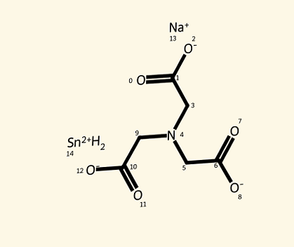 O=C([O-])CN(CC(=O)[O-])CC(=O)[O-].[Na+].[SnH2+2]